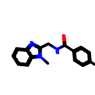 Cn1c(CNC(=O)c2ccc(I)cc2)nc2ccccc21